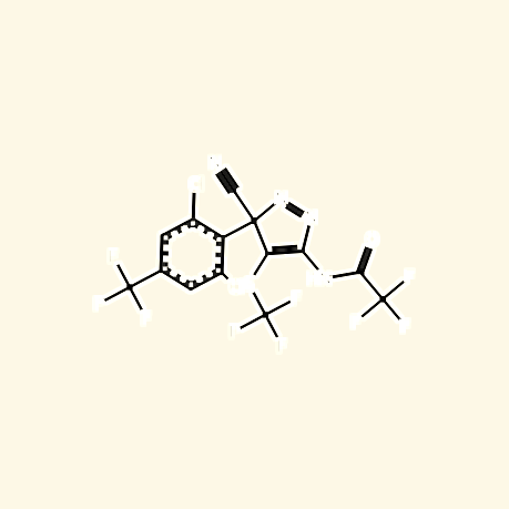 N#CC1(c2c(Cl)cc(C(F)(F)F)cc2Cl)N=NC(NC(=O)C(F)(F)F)=C1SC(F)(F)F